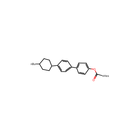 CCCCCCC(=O)Oc1ccc(-c2ccc(C3CCC(CCCC)CC3)cc2)cc1